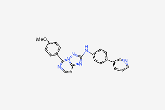 COc1ccc(-c2nccc3nc(Nc4ccc(-c5cccnc5)cc4)nn23)cc1